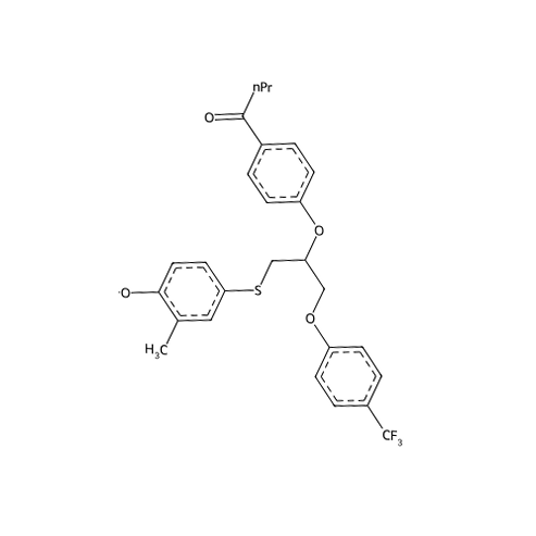 CCCC(=O)c1ccc(OC(COc2ccc(C(F)(F)F)cc2)CSc2ccc([O])c(C)c2)cc1